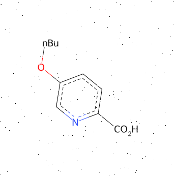 CCCCOc1ccc(C(=O)O)nc1